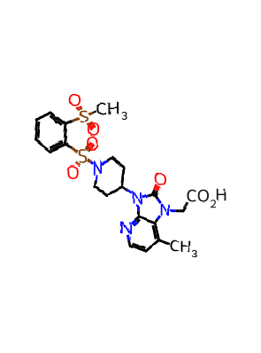 Cc1ccnc2c1n(CC(=O)O)c(=O)n2C1CCN(S(=O)(=O)c2ccccc2S(C)(=O)=O)CC1